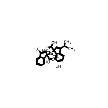 CC1=CC(C(=O)O)([Si](C)(C)C2(C(=O)O)C=C(C(C)C)c3ccccc32)c2ccccc21.[LiH]